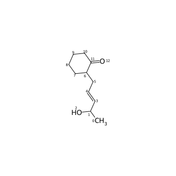 CC(O)C=CCC1CCCCC1=O